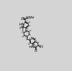 CCC1Cc2cnc(CN3CCN(C4=CC=C(C(=O)NC)NC4(C)C)CC3)cc2NC1=O